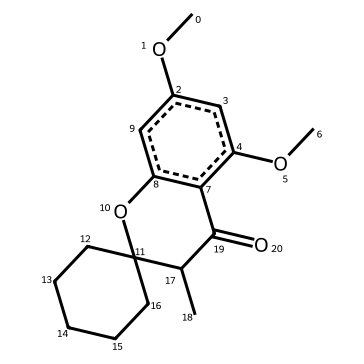 COc1cc(OC)c2c(c1)OC1(CCCCC1)C(C)C2=O